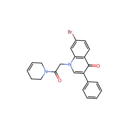 O=C(Cn1cc(-c2ccccc2)c(=O)c2ccc(Br)cc21)N1CC=CCC1